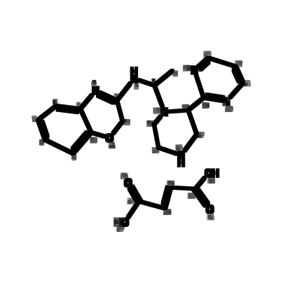 CC(NC1=Nc2ccccc2OC1)N1CCNCC1c1ncccn1.O=C(O)C=CC(=O)O